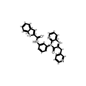 O=C(Nc1cccc(-n2c(=O)c(Cc3cccnc3)nc3cccnc32)c1)c1cc2ccccc2s1